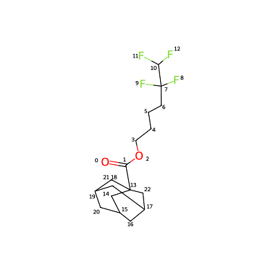 O=C(OCCCCC(F)(F)C(F)F)C12CC3CC(CC(C3)C1)C2